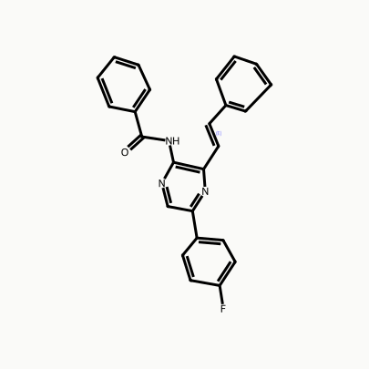 O=C(Nc1ncc(-c2ccc(F)cc2)nc1/C=C/c1ccccc1)c1ccccc1